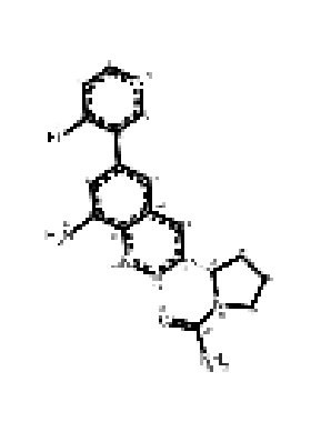 CCc1ccncc1-c1cc(N)c2nnc([C@@H]3CCCN3C(N)=O)cc2c1